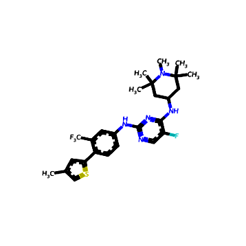 Cc1csc(-c2ccc(Nc3ncc(F)c(NC4CC(C)(C)N(C)C(C)(C)C4)n3)cc2C(F)(F)F)c1